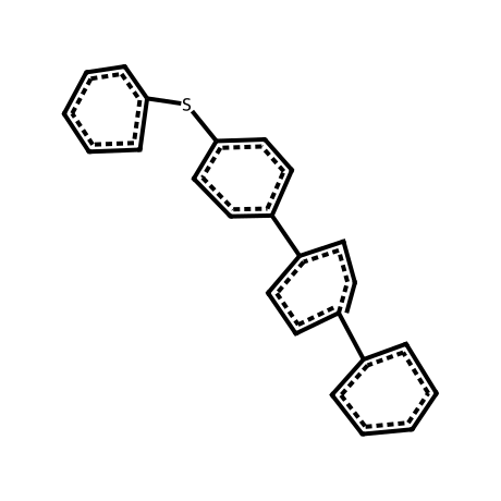 c1ccc(Sc2ccc(-c3ccc(-c4ccccc4)cc3)cc2)cc1